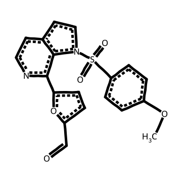 COc1ccc(S(=O)(=O)n2ccc3ccnc(-c4ccc(C=O)o4)c32)cc1